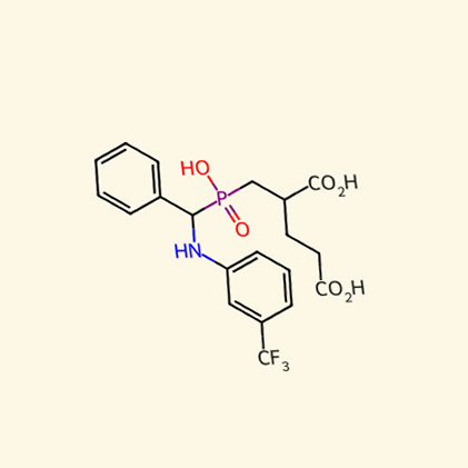 O=C(O)CCC(CP(=O)(O)C(Nc1cccc(C(F)(F)F)c1)c1ccccc1)C(=O)O